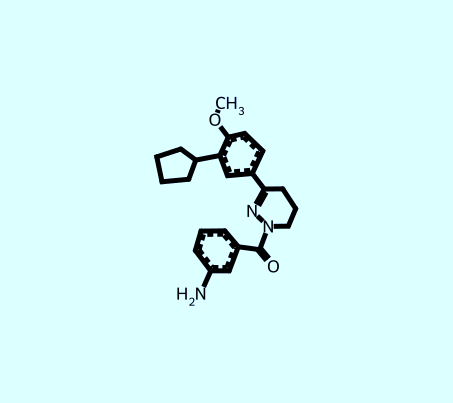 COc1ccc(C2=NN(C(=O)c3cccc(N)c3)CCC2)cc1C1CCCC1